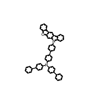 c1ccc(-c2ccc(N(c3ccc(-c4ccccc4)cc3)c3ccc(-c4ccc(-n5c6ccccc6c6cc7c(cc65)oc5ccccc57)cc4)cc3)cc2)cc1